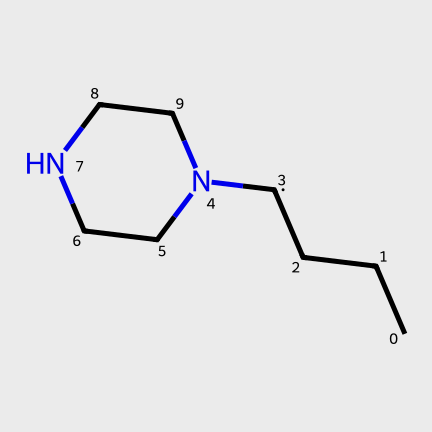 CCC[CH]N1CCNCC1